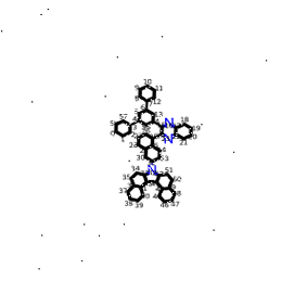 c1ccc(-c2cc(-c3ccccc3)cc(-c3nc4ccccc4nc3-c3cccc4cc(-n5c6ccc7ccccc7c6c6c7ccccc7ccc65)ccc34)c2)cc1